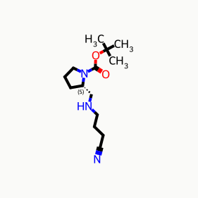 CC(C)(C)OC(=O)N1CCC[C@H]1CNCCCC#N